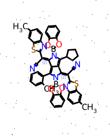 Cc1ccc2nc(/C(C#N)=c3/c4c(C5CCCC5)n(B5Oc6ccccc6O5)/c(=C(/C#N)c5nc6ccc(C)cc6s5)c4c(-c4ccccc4C)n3B3Oc4ccccc4O3)sc2c1